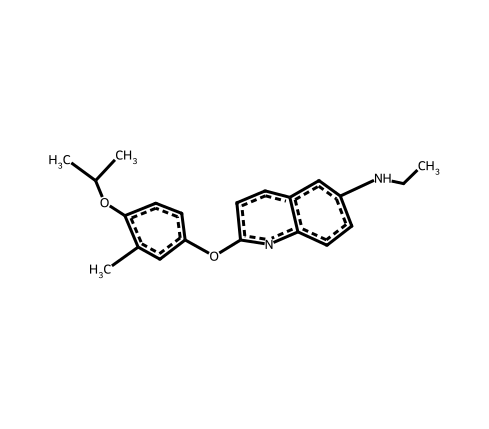 CCNc1ccc2nc(Oc3ccc(OC(C)C)c(C)c3)ccc2c1